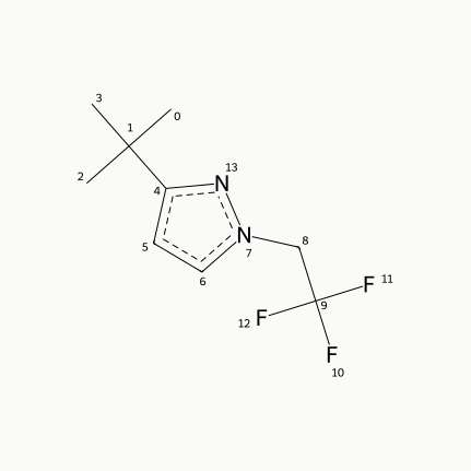 CC(C)(C)c1ccn(CC(F)(F)F)n1